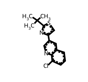 CC(C)(C)c1nc(-c2cnc3c(Cl)cccc3c2)cs1